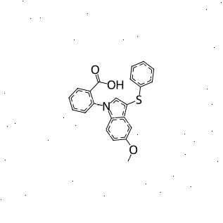 COc1ccc2c(c1)c(Sc1ccccc1)cn2-c1ccccc1C(=O)O